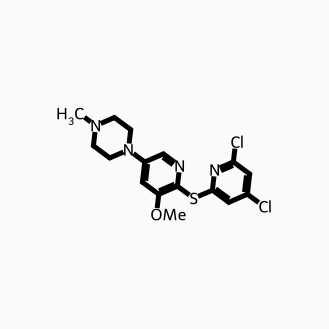 COc1cc(N2CCN(C)CC2)cnc1Sc1cc(Cl)cc(Cl)n1